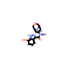 CCCCN1C2COCC1CC(N(C(=O)c1n[nH]c3c(O)cccc13)C(C)C)C2